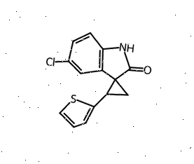 O=C1Nc2ccc(Cl)cc2C12CC2c1cccs1